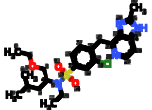 CCOC[C@H](CC(C)C)N(CC)S(=O)(=O)c1ccc(Cc2nccc3[nH]c(C)nc23)c(Cl)c1